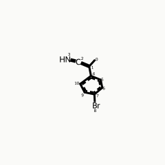 CC(=C=N)c1ccc(Br)cc1